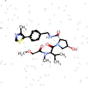 COCC(=O)N(C)C(C(=O)N1C[C@H](O)C[C@H]1C(=O)NCc1ccc(-c2scnc2C)cc1)C(C)C